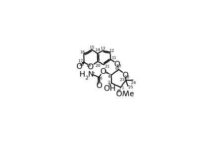 CO[C@@H]1[C@H](O)[C@@H](OC(N)=O)[C@H](Oc2ccc3ccc(=O)oc3c2)OC1(C)C